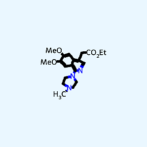 CCOC(=O)Cc1cnc(N2CCN(C)CC2)c2cc(OC)c(OC)cc12